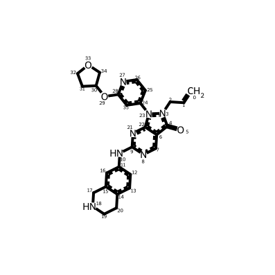 C=CCn1c(=O)c2cnc(Nc3ccc4c(c3)CNCC4)nc2n1-c1ccnc(OC2CCOC2)c1